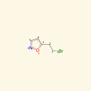 BrCCc1ccno1